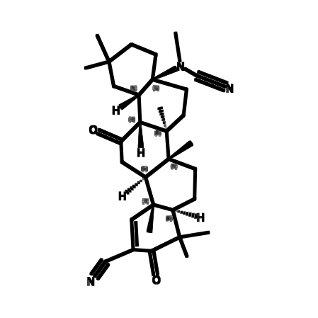 CN(C#N)[C@]12CCC(C)(C)C[C@H]1[C@H]1C(=O)C[C@@H]3[C@@]4(C)C=C(C#N)C(=O)C(C)(C)[C@@H]4CC[C@@]3(C)[C@]1(C)CC2